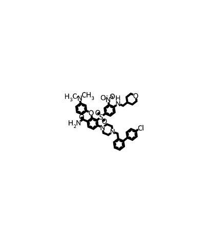 CN(C)c1cccc(Oc2c(C(N)=O)ccc(N3CCN(Cc4ccccc4-c4ccc(Cl)cc4)CC3)c2S(=O)(=O)c2ccc(NCC3CCOCC3)c([N+](=O)[O-])c2)c1